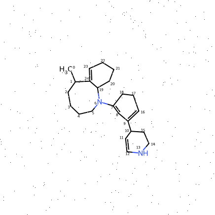 CC1CCCCN(C2=CC(C3C=CNCC3)=CCC2)C2CCCC=C12